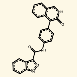 O=C(Nc1ccc(-c2c(=O)[nH]cc3ccccc23)cc1)c1onc2ccccc12